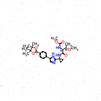 COC(=O)N[C@H](C(=O)NC1(c2ncc(-c3ccc(B4OC(C)(C)C(C)(C)O4)cc3)[nH]2)CC1)[C@@H](C)OC